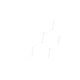 Cc1ccc(C)c([C@H](CO)C(=O)O)c1